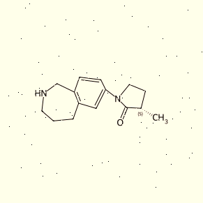 C[C@H]1CCN(c2ccc3c(c2)CCCNC3)C1=O